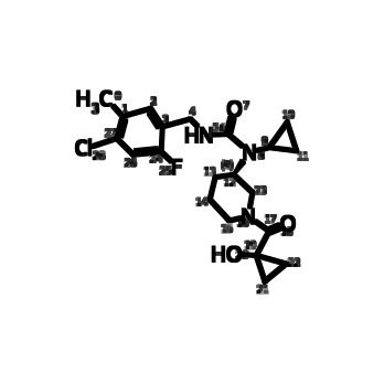 Cc1cc(CNC(=O)N(C2CC2)[C@@H]2CCCN(C(=O)C3(O)CC3)C2)c(F)cc1Cl